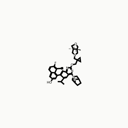 C#Cc1c(F)ccc2cc(O)cc(-c3cc4nc(OCC5(CN6C[C@@]7(C)COC[C@]7(C)C6)CC5)nc(N5CC6CCC(C5)N6)c4cc3C(C)C)c12